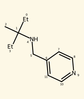 CCC(C)(CC)NCc1ccncc1